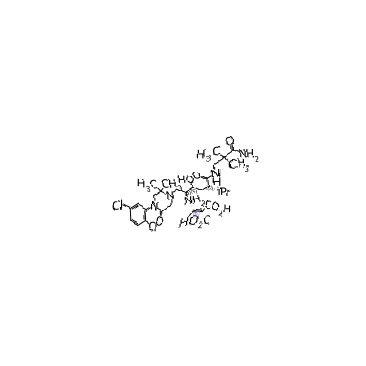 CC(C)[C@H](C[C@H](O)[C@@H](N)CN1CC(=O)N(c2cc(Cl)ccc2Cl)CC1(C)C)C(=O)NCC(C)(C)C(N)=O.O=C(O)/C=C/C(=O)O